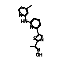 CC(=NO)c1ncc(-c2cccc(Nc3cc(C)ccn3)n2)s1